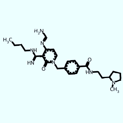 CCCCNC(=N)c1c(/N=C/N)ccn(Cc2ccc(C(=O)NCCC3CCCN3C)cc2)c1=O